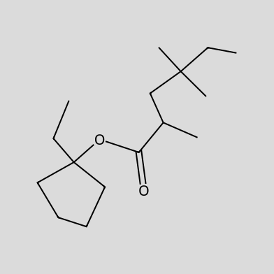 CCC(C)(C)CC(C)C(=O)OC1(CC)CCCC1